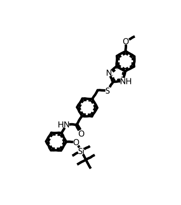 COc1ccc2[nH]c(SCc3ccc(C(=O)Nc4ccccc4O[Si](C)(C)C(C)(C)C)cc3)nc2c1